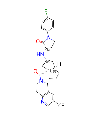 O=C1[C@@H](N[C@@H]2C[C@H]3CCC[C@@]3(C(=O)N3CCc4ncc(C(F)(F)F)cc4C3)C2)CCN1c1ccc(F)cc1